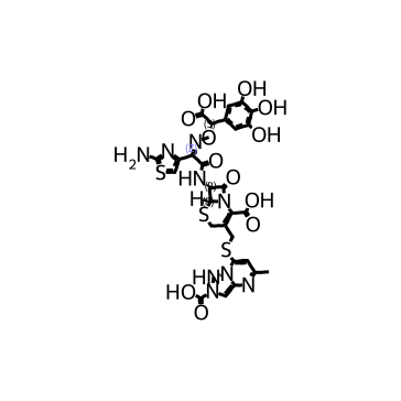 CC1=NC2=CN(C(=O)O)NN2C(SCC2=C(C(=O)O)N3C(=O)[C@@H](NC(=O)/C(=N\O[C@H](C(=O)O)c4cc(O)c(O)c(O)c4)c4csc(N)n4)[C@H]3SC2)=C1